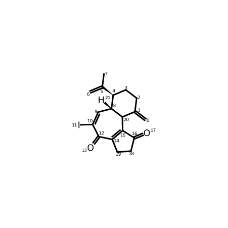 C=C1CC[C@H](C(=C)C)[C@H]2C=C(I)C(=O)C3=C(C(=O)CC3)C12